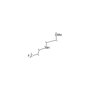 COCCNCCC(F)(F)F